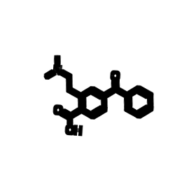 CN(C)CCc1cc(C(=O)c2ccccc2)ccc1C(=O)O